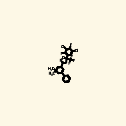 CC1(C)C=C(C2=NOC(c3cc(Cl)c(F)c(Cl)c3F)(C(F)(F)F)C2)C=C(c2ccccc2)C1